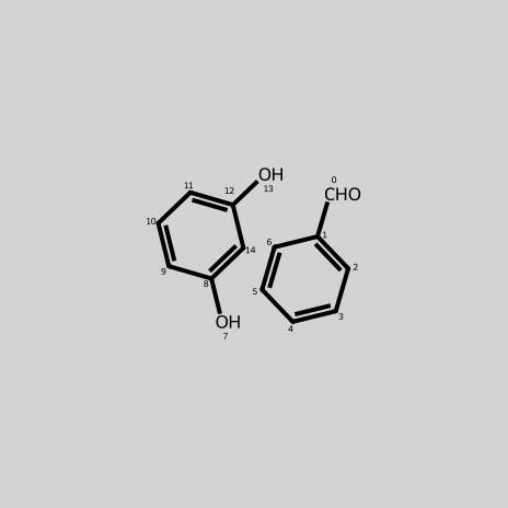 O=Cc1ccccc1.Oc1cccc(O)c1